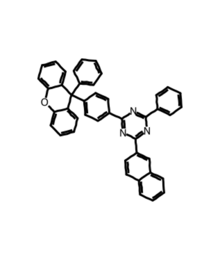 c1ccc(-c2nc(-c3ccc(C4(c5ccccc5)c5ccccc5Oc5ccccc54)cc3)nc(-c3ccc4ccccc4c3)n2)cc1